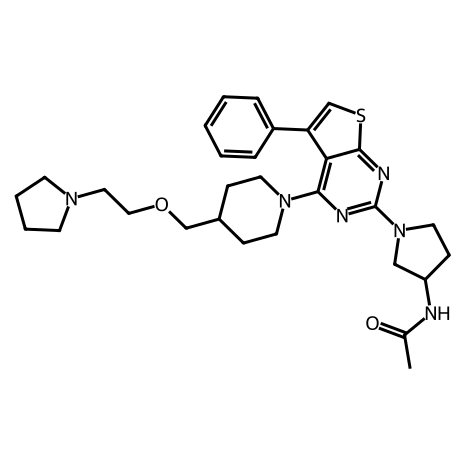 CC(=O)NC1CCN(c2nc(N3CCC(COCCN4CCCC4)CC3)c3c(-c4ccccc4)csc3n2)C1